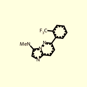 CNc1cnc2ccc(-c3ccccc3C(F)(F)F)nn12